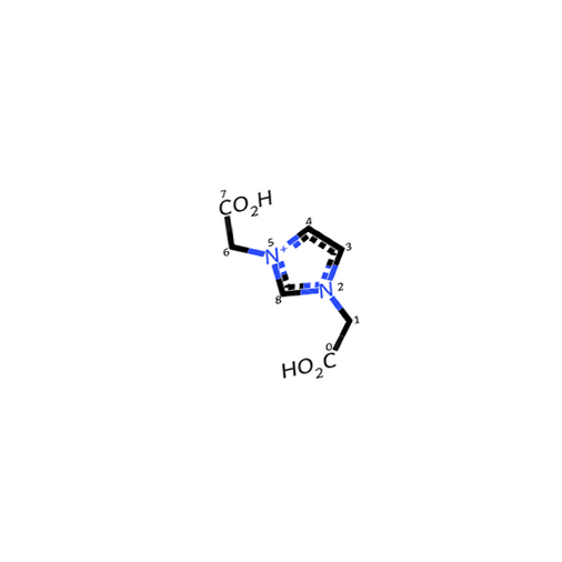 O=C(O)Cn1cc[n+](CC(=O)O)c1